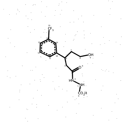 O=C(O)NNC(=O)CC(CCO)c1cccc(C(F)(F)F)c1